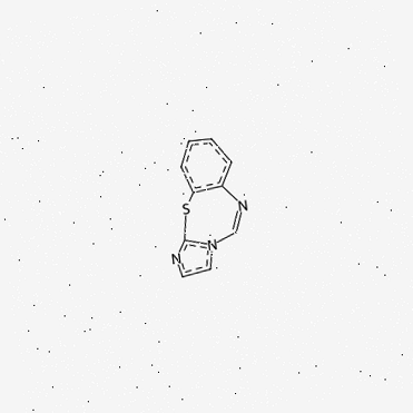 C1=Nc2ccccc2Sc2nccn21